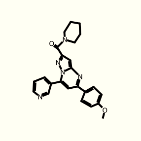 COc1ccc(-c2cc(-c3cccnc3)n3nc(C(=O)N4CCCCC4)cc3n2)cc1